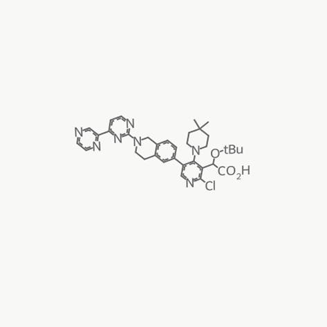 CC1(C)CCN(c2c(-c3ccc4c(c3)CCN(c3nccc(-c5cnccn5)n3)C4)cnc(Cl)c2C(OC(C)(C)C)C(=O)O)CC1